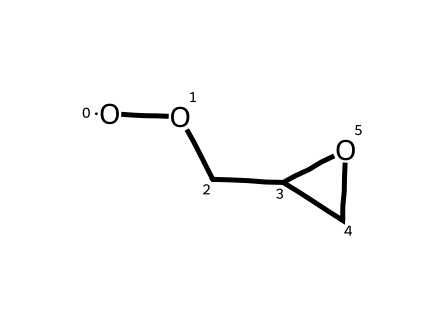 [O]OCC1CO1